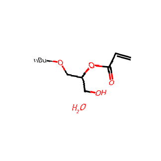 C=CC(=O)OC(CO)COCCCC.O